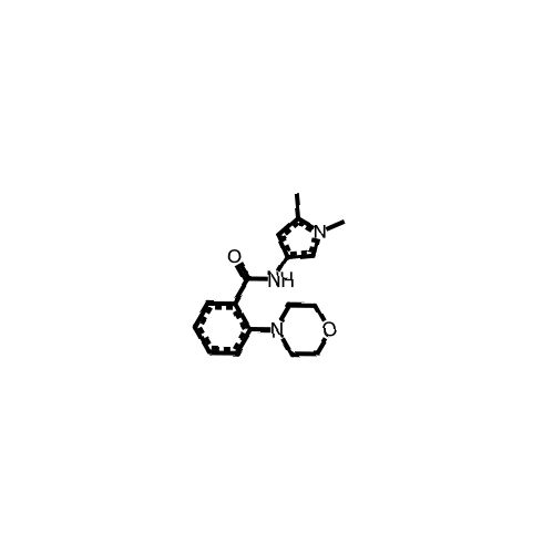 Cc1cc(NC(=O)c2ccccc2N2CCOCC2)cn1C